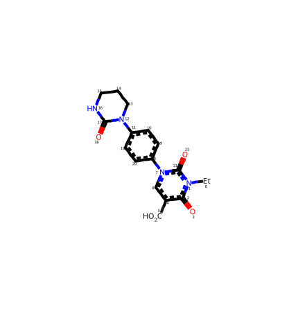 CCn1c(=O)c(C(=O)O)cn(-c2ccc(N3CCCNC3=O)cc2)c1=O